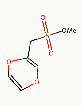 COS(=O)(=O)CC1=COC=CO1